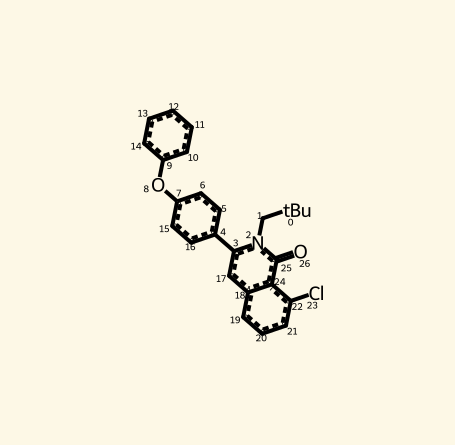 CC(C)(C)Cn1c(-c2ccc(Oc3ccccc3)cc2)cc2cccc(Cl)c2c1=O